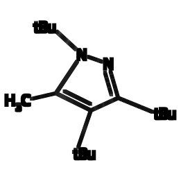 Cc1c(C(C)(C)C)c(C(C)(C)C)nn1C(C)(C)C